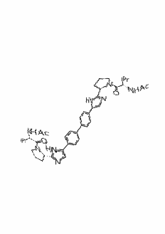 CC(=O)N[C@H](C(=O)N1CCCC1c1ncc(-c2ccc(-c3ccc(-c4cnc([C@@H]5CCCN5C(=O)[C@H](NC(C)=O)C(C)C)[nH]4)cc3)cc2)[nH]1)C(C)C